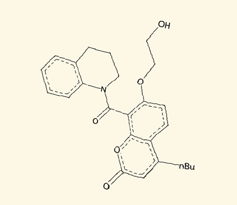 CCCCc1cc(=O)oc2c(C(=O)N3CCCc4ccccc43)c(OCCO)ccc12